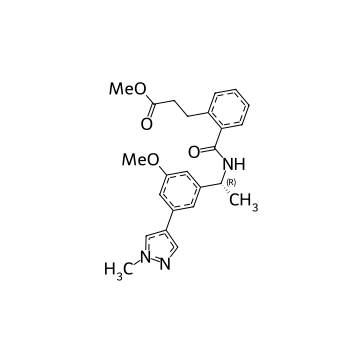 COC(=O)CCc1ccccc1C(=O)N[C@H](C)c1cc(OC)cc(-c2cnn(C)c2)c1